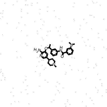 CC(Oc1cc(C2CCN(C)CC2)cnc1N)c1cccc(NC(=O)c2cccc(N(C)C)c2)c1